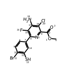 COC(=O)c1nc(-c2ccc(Br)c(S)c2)c(F)c(N)c1Cl